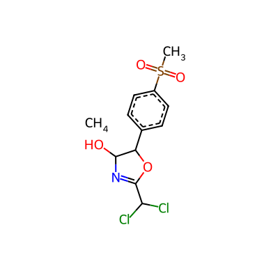 C.CS(=O)(=O)c1ccc(C2OC(C(Cl)Cl)=NC2O)cc1